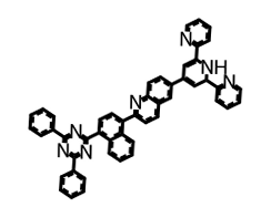 C1=C(c2ccc3nc(-c4ccc(-c5nc(-c6ccccc6)nc(-c6ccccc6)n5)c5ccccc45)ccc3c2)C=C(c2ccccn2)NC1c1ccccn1